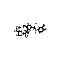 O=C(Nc1ccc(F)c(F)c1)c1ccc(F)c(C(F)(F)C(=O)N2CCC(CO)C2)c1